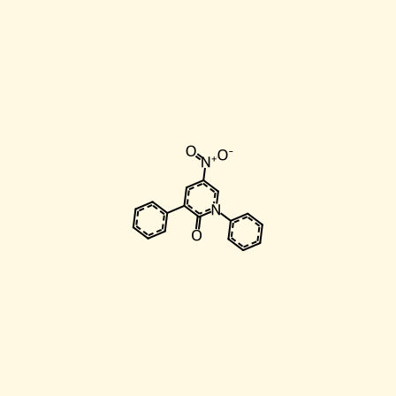 O=c1c(-c2ccccc2)cc([N+](=O)[O-])cn1-c1ccccc1